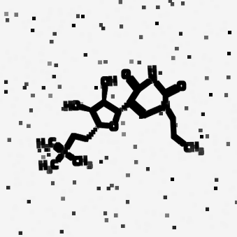 C=P(C)(C)CC[C@H]1O[C@@H](c2cn(CCC)c(=O)[nH]c2=O)[C@H](O)[C@@H]1O